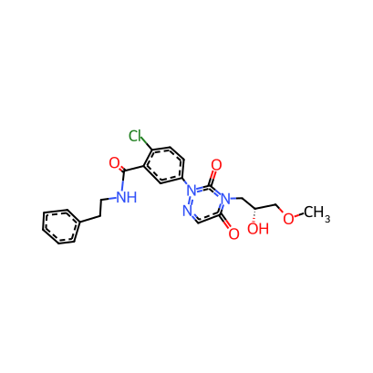 COC[C@H](O)Cn1c(=O)cnn(-c2ccc(Cl)c(C(=O)NCCc3ccccc3)c2)c1=O